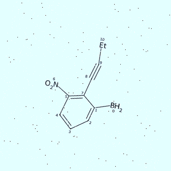 Bc1cccc([N+](=O)[O-])c1C#CCC